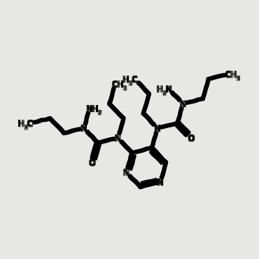 CCCN(N)C(=O)N(CCC)c1cncnc1N(CCC)C(=O)N(N)CCC